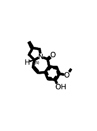 C=C1C[C@H]2C=Cc3cc(O)c(OC)cc3C(=O)N2C1